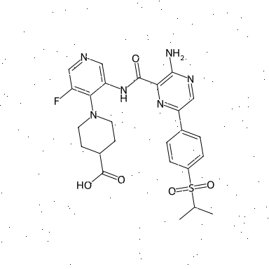 CC(C)S(=O)(=O)c1ccc(-c2cnc(N)c(C(=O)Nc3cncc(F)c3N3CCC(C(=O)O)CC3)n2)cc1